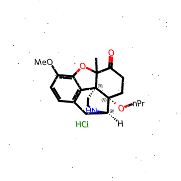 CCCO[C@@]12CCC(=O)C3(C)Oc4c(OC)ccc5c4[C@@]31CCN[C@@H]2C5.Cl